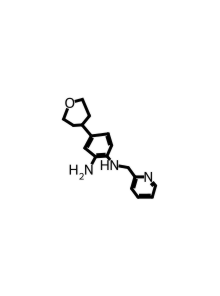 Nc1cc(C2CCOCC2)ccc1NCc1ccccn1